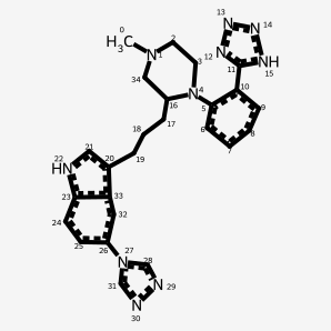 CN1CCN(c2ccccc2-c2nnn[nH]2)C(CCCc2c[nH]c3ccc(-n4cnnc4)cc23)C1